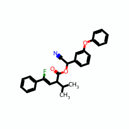 CC(C)C(C=C(F)c1ccccc1)C(=O)OC(C#N)c1cccc(Oc2ccccc2)c1